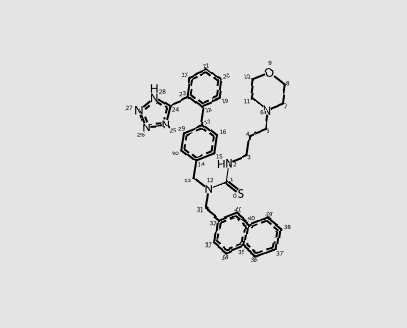 S=C(NCCCN1CCOCC1)N(Cc1ccc(-c2ccccc2-c2nnn[nH]2)cc1)Cc1ccc2ccccc2c1